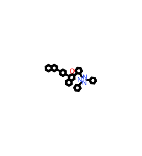 c1ccc(-c2nc(-c3ccccc3)nc(-c3cccc4oc5c(-c6ccc(-c7ccc8ccccc8c7)cc6)c6ccccc6cc5c34)n2)cc1